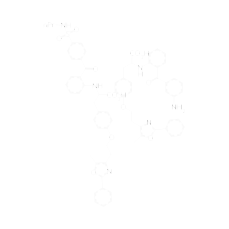 CCCNS(=O)(=O)c1ccc(C(=O)c2ccccc2NC(Cc2ccc(OCCc3nc(-c4ccccc4)oc3C)cc2)C(=O)O)cc1.Cc1oc(-c2ccccc2)nc1CCOc1ccc(CC(Nc2ccccc2C(=O)c2cccc(N)c2)C(=O)O)cc1